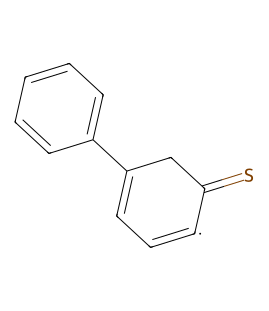 S=C1[C]=CC=C(c2ccccc2)C1